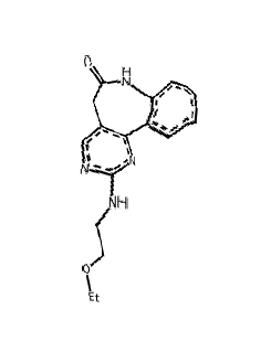 CCOCCNc1ncc2c(n1)-c1ccccc1NC(=O)C2